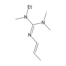 C/C=C/N=C(\N(C)C)N(C)CC